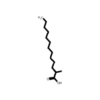 CCCCCCCCCCCC(I)C(=O)O